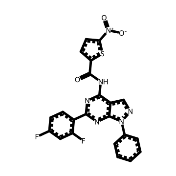 O=C(Nc1nc(-c2ccc(F)cc2F)nc2c1cnn2-c1ccccc1)c1ccc([N+](=O)[O-])s1